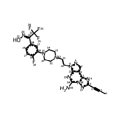 CC#Cc1nc2c3cnn(CCN4CCN(c5cc(/C(=N\O)C(F)(F)F)ccc5F)CC4)c3nc(N)n2n1